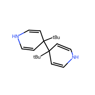 CC(C)(C)C1(C2(C(C)(C)C)C=CNC=C2)C=CNC=C1